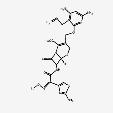 C=CC[n+]1c(N)cc(N)nc1SCC1=C(C(=O)[O-])N2C(=O)C(NC(=O)/C(=N\OCC)c3csc(N)n3)[C@H]2SC1